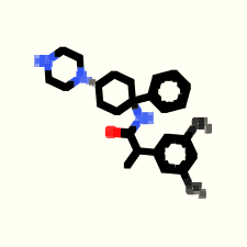 CC(C(=O)N[C@]1(c2ccccc2)CC[C@@H](N2CCNCC2)CC1)c1cc(C(F)(F)F)cc(C(F)(F)F)c1